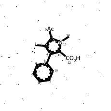 CC(=O)c1c(C)c(-c2ccccc2)c(C(=O)O)n1C